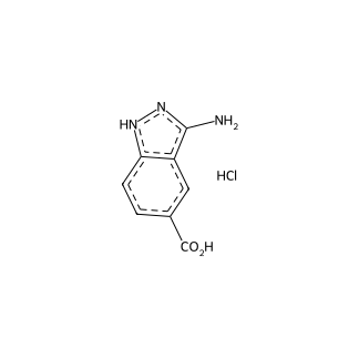 Cl.Nc1n[nH]c2ccc(C(=O)O)cc12